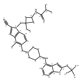 CCC1(Cn2c(C#N)cc3c(C)c(CN4CCC(Nc5ncnc6sc(CC(F)(F)F)cc56)CC4)ccc32)CC(NC(=O)C(C)C)C1